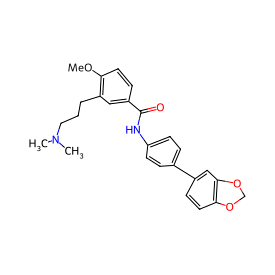 COc1ccc(C(=O)Nc2ccc(-c3ccc4c(c3)OCO4)cc2)cc1CCCN(C)C